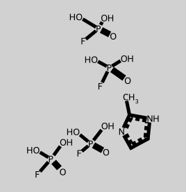 Cc1ncc[nH]1.O=P(O)(O)F.O=P(O)(O)F.O=P(O)(O)F.O=P(O)(O)F